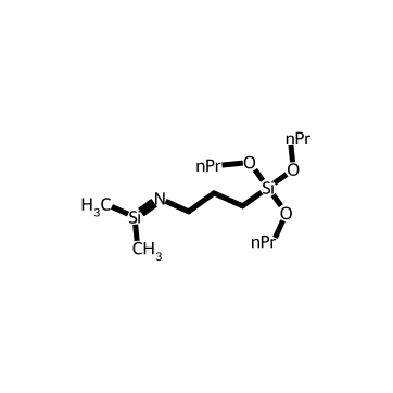 CCCO[Si](CCCN=[Si](C)C)(OCCC)OCCC